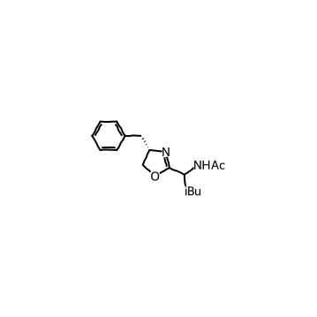 CCC(C)C(NC(C)=O)C1=N[C@@H](Cc2ccccc2)CO1